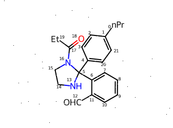 CCCc1ccc(C2(c3ccccc3C=O)NCCN2C(=O)CC)cc1